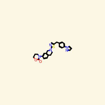 O=C1OCCCN1c1ccc2c(c1)CN(c1ncc(Cc3ccc(-n4cccn4)cc3)s1)CC2